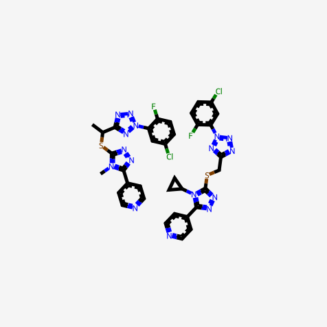 CC(Sc1nnc(-c2ccncc2)n1C)c1nnn(-c2cc(Cl)ccc2F)n1.Fc1ccc(Cl)cc1-n1nnc(CSc2nnc(-c3ccncc3)n2C2CC2)n1